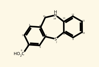 O=C(O)c1ccc2c(c1)Sc1ccccc1NC2